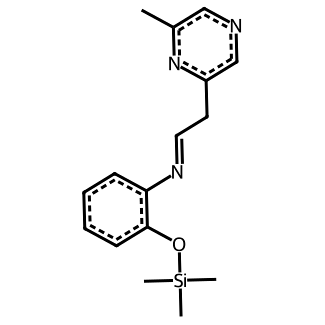 Cc1cncc(CC=Nc2ccccc2O[Si](C)(C)C)n1